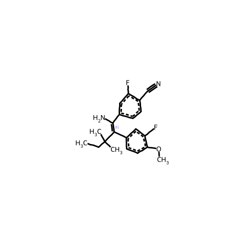 CCC(C)(C)/C(=C(\N)c1ccc(C#N)c(F)c1)c1ccc(OC)c(F)c1